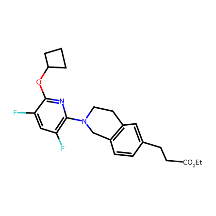 CCOC(=O)CCc1ccc2c(c1)CCN(c1nc(OC3CCC3)c(F)cc1F)C2